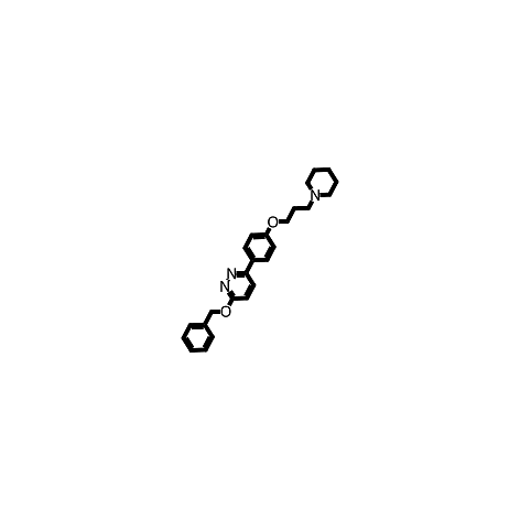 c1ccc(COc2ccc(-c3ccc(OCCCN4CCCCC4)cc3)nn2)cc1